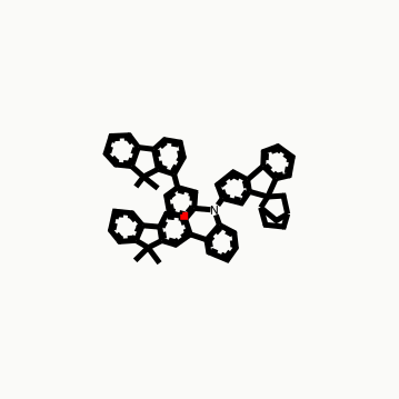 CC1(C)c2ccccc2-c2ccc(-c3ccccc3N(c3cccc(-c4cccc5c4C(C)(C)c4ccccc4-5)c3)c3ccc4c(c3)C3(CC5CCC3C5)c3ccccc3-4)cc21